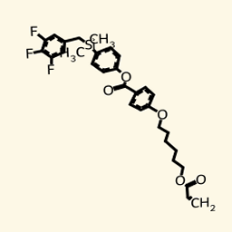 C=CC(=O)OCCCCCCOc1ccc(C(=O)Oc2ccc([Si](C)(C)Cc3cc(F)c(F)c(F)c3)cc2)cc1